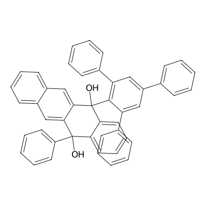 OC1(c2ccccc2)c2ccccc2C(O)(c2c(-c3ccccc3)cc(-c3ccccc3)cc2-c2ccccc2)c2cc3ccccc3cc21